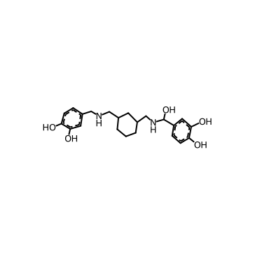 Oc1ccc(CNCC2CCCC(CNC(O)c3ccc(O)c(O)c3)C2)cc1O